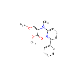 COC=C(C(=O)OC)N(C)c1cccc(-c2ccccc2)n1